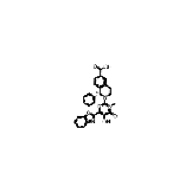 Cn1c(N2CCc3cc(C(=O)O)ccc3[C@H]2c2ccccc2)nc(-c2nc3ccccc3o2)c(O)c1=O